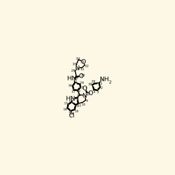 Nc1ccc(OC(=O)N2CCc3c([nH]c4ccc(Cl)cc34)C2c2ccc(NC(=O)CN3CCOCC3)cc2)cc1